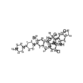 COc1cc(N2CCC(N3CCN(C)CC3)CC2)c(Br)cc1Nc1ncc(Cl)c(Nc2cc3c(cc2NS(C)(=O)=O)OCC3)n1